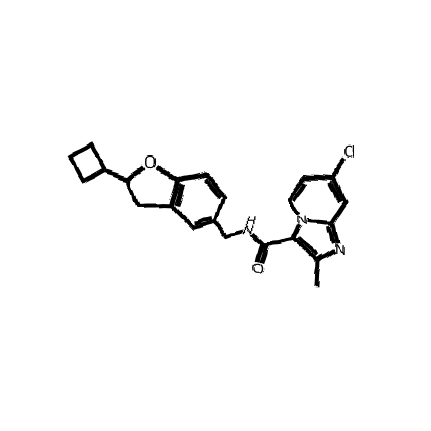 Cc1nc2cc(Cl)ccn2c1C(=O)NCc1ccc2c(c1)CC(C1CCC1)O2